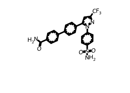 NC(=O)c1ccc(-c2ccc(-c3cc(C(F)(F)F)nn3-c3ccc(S(N)(=O)=O)cc3)cc2)cc1